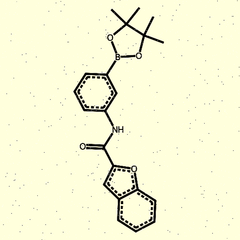 CC1(C)OB(c2cccc(NC(=O)c3cc4ccccc4o3)c2)OC1(C)C